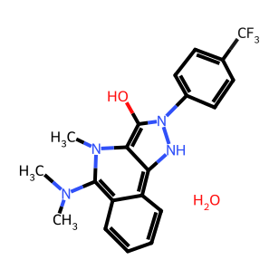 CN(C)C1=c2ccccc2=C2NN(c3ccc(C(F)(F)F)cc3)C(O)=C2N1C.O